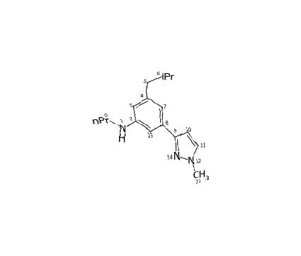 CCCNc1cc(CC(C)C)cc(-c2ccn(C)n2)c1